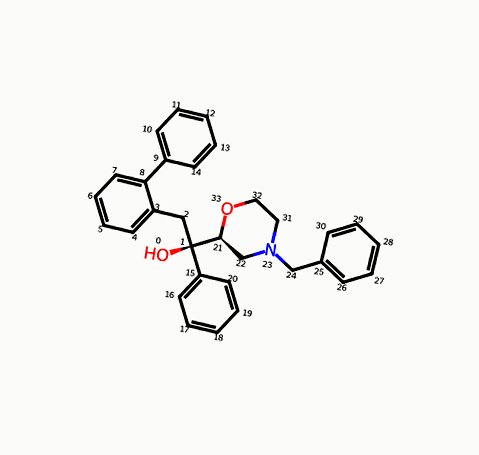 O[C@](Cc1ccccc1-c1ccccc1)(c1ccccc1)[C@@H]1CN(Cc2ccccc2)CCO1